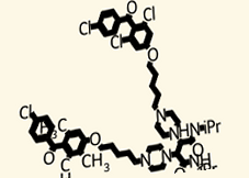 Cc1cc(OCCCCCN2CCN(C(C(=O)NC(C)C)C(C(=O)NC(C)C)N3CCN(CCCCCOc4cc(Cl)c(C(=O)c5ccc(Cl)cc5)c(Cl)c4)CC3)CC2)c(C)c(C)c1C(=O)c1ccc(Cl)cc1